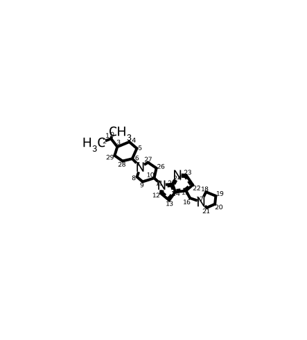 CC(C)C1CCC(N2CCC(n3ccc4c(CN5CCCC5)ccnc43)CC2)CC1